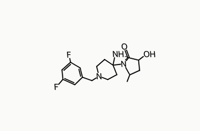 CC1CC(O)C(=O)N1C1(N)CCN(Cc2cc(F)cc(F)c2)CC1